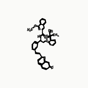 COC(=O)c1ccccc1/C=C/C(=O)NC(CCc1ccccc1C(C)(C)O)c1cccc(/C=C/c2ccc3ccc(Cl)cc3n2)c1